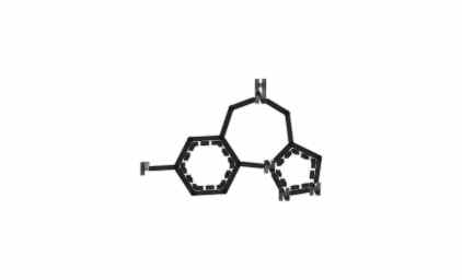 Fc1ccc2c(c1)CNCc1cnnn1-2